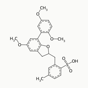 COc1ccc(OC)c(-c2cc(OC)cc3c2OC(Cc2cc(C)ccc2S(=O)(=O)O)C3)c1